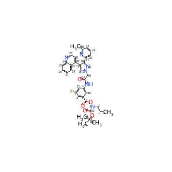 CCCN(OC(=O)c1cc(F)cc(NC(=O)Cn2cc(-c3ccnc4ccccc34)c(-c3cccc(C)n3)n2)c1)C(=O)OC(C)(C)C